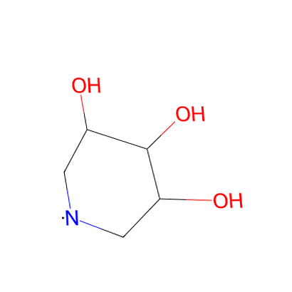 OC1C[N]CC(O)C1O